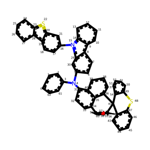 c1ccc(N(c2ccc3c4ccccc4n(-c4ccc5c(c4)sc4ccccc45)c3c2)c2ccc3c4c(cccc24)C2(c4ccccc4Sc4ccccc42)c2ccccc2-3)cc1